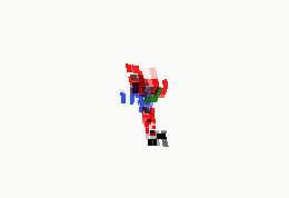 C#CCOCCOCCOCCOCCN1CCC(Nc2nc(Cl)nc3c2cnn3[C@@H]2O[C@H](CO)C[C@H]2O)CC1